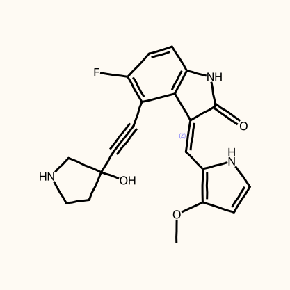 COc1cc[nH]c1/C=C1\C(=O)Nc2ccc(F)c(C#CC3(O)CCNC3)c21